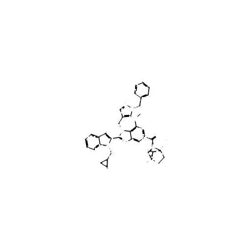 COc1cc(C(=O)N2C[C@H]3CC[C@@H]2[C@@H]3N)cc2nc(-c3cc4ccccc4n3CC3CC3)n(Cc3cnn(Cc4ccccc4)c3)c12